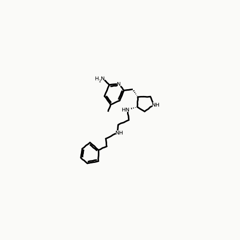 Cc1cc(N)nc(C[C@@H]2CNC[C@@H]2NCCNCCc2ccccc2)c1